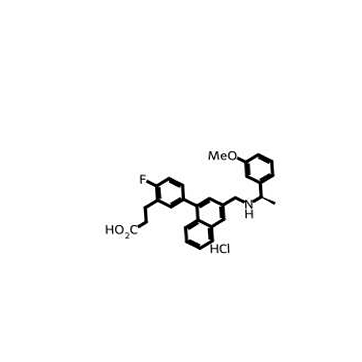 COc1cccc([C@@H](C)NCc2cc(-c3ccc(F)c(CCC(=O)O)c3)c3ccccc3c2)c1.Cl